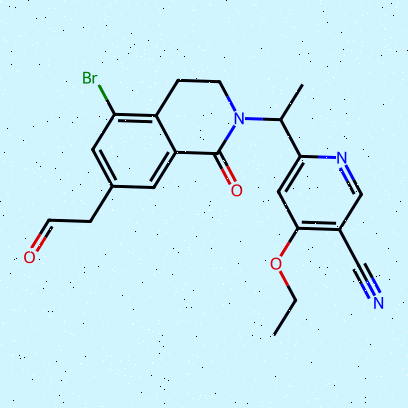 CCOc1cc(C(C)N2CCc3c(Br)cc(CC=O)cc3C2=O)ncc1C#N